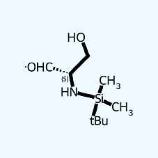 CC(C)(C)[Si](C)(C)N[C@H]([C]=O)CO